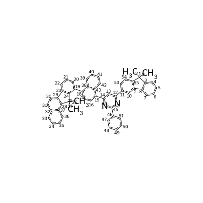 CC1(C)c2ccccc2-c2cc(-c3cc(-c4ccc(-c5cccc6c5C(C)(C)c5c-6ccc6ccccc56)c5ccccc45)nc(-c4ccccc4)n3)ccc21